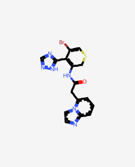 O=C(Cc1cccc2nccn12)NC1=C(c2ncn[nH]2)C(Br)=CSC1